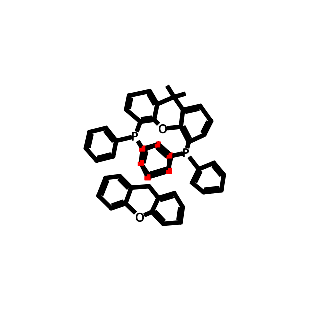 CC1(C)c2cccc(P(c3ccccc3)c3ccccc3)c2Oc2c(P(c3ccccc3)c3ccccc3)cccc21.c1ccc2c(c1)Cc1ccccc1O2